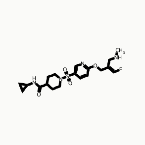 CNC/C(=C\F)COc1ccc(S(=O)(=O)N2CCC(C(=O)NC3CC3)CC2)cn1